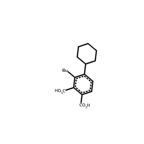 CCC(C)c1c(C2CCCCC2)ccc(C(=O)O)c1C(=O)O